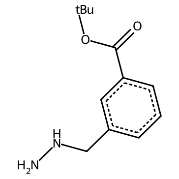 CC(C)(C)OC(=O)c1cccc(CNN)c1